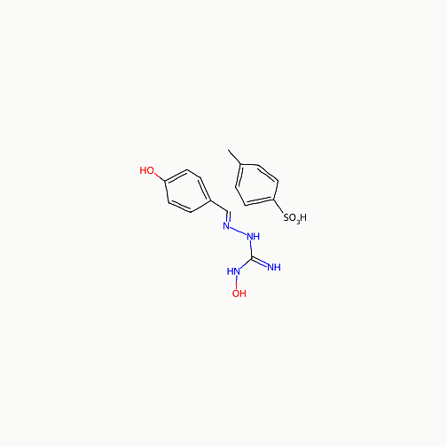 Cc1ccc(S(=O)(=O)O)cc1.N=C(NO)N/N=C/c1ccc(O)cc1